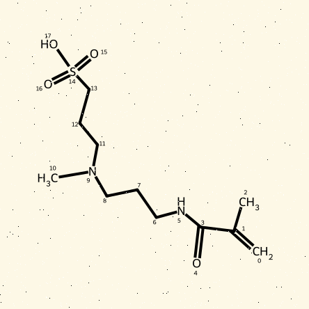 C=C(C)C(=O)NCCCN(C)CCCS(=O)(=O)O